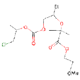 CCC(COC(=O)OC(C)CCl)OC(C)(C)C(=O)OCCOC